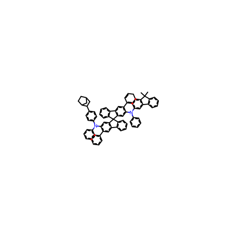 CC1(C)c2ccccc2-c2cc(N(c3ccccc3)c3cc4c(cc3C3=CCCC=C3)-c3ccccc3C43c4ccccc4-c4cc(-c5ccccc5)c(N(c5ccccc5)c5ccc(C6CC7CCC6C7)cc5)cc43)ccc21